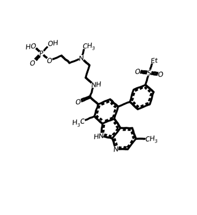 CCS(=O)(=O)c1cccc(-c2cc(C(=O)NCCN(C)CCOP(=O)(O)O)c(C)c3[nH]c4ncc(C)cc4c23)c1